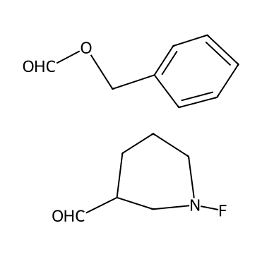 O=CC1CCCN(F)C1.O=COCc1ccccc1